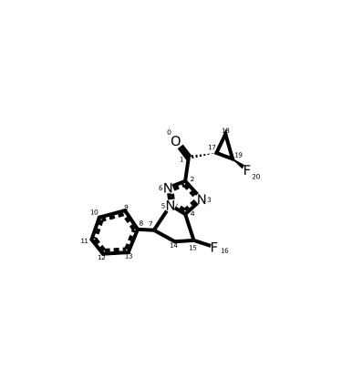 O=C(c1nc2n(n1)C(c1ccccc1)CC2F)[C@@H]1C[C@H]1F